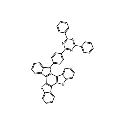 c1ccc(-c2nc(-c3ccccc3)nc(-c3ccc(-n4c5ccccc5c5c6oc7ccccc7c6c6sc7ccccc7c6c54)cc3)n2)cc1